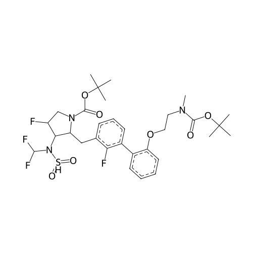 CN(CCOc1ccccc1-c1cccc(CC2C(N(C(F)F)[SH](=O)=O)C(F)CN2C(=O)OC(C)(C)C)c1F)C(=O)OC(C)(C)C